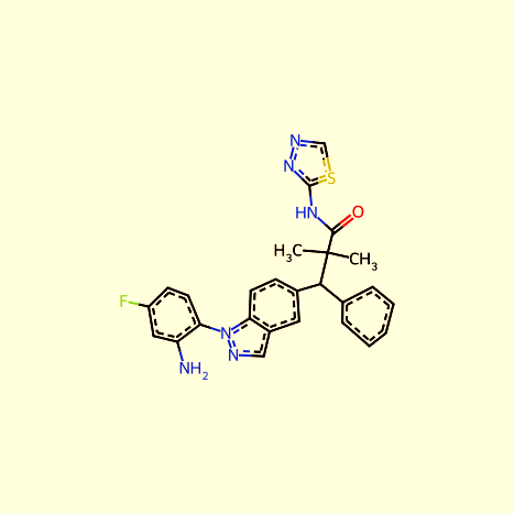 CC(C)(C(=O)Nc1nncs1)C(c1ccccc1)c1ccc2c(cnn2-c2ccc(F)cc2N)c1